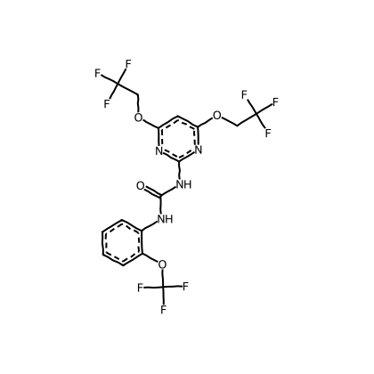 O=C(Nc1nc(OCC(F)(F)F)cc(OCC(F)(F)F)n1)Nc1ccccc1OC(F)(F)F